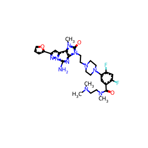 CN(C)CCN(C)C(=O)c1cc(N2CCN(CCn3c(=O)n(C)c4c3nc(N)n3nc(-c5ccco5)cc43)CC2)c(F)cc1F